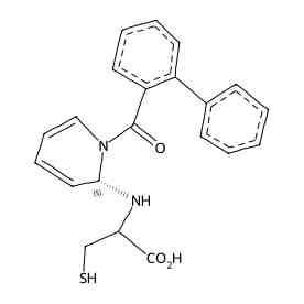 O=C(O)C(CS)N[C@@H]1C=CC=CN1C(=O)c1ccccc1-c1ccccc1